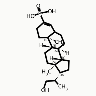 CC(CO)[C@H]1CC[C@H]2[C@@H]3CCC4C=C(P(=O)(O)O)CC[C@]4(C)[C@H]3CC[C@]12C